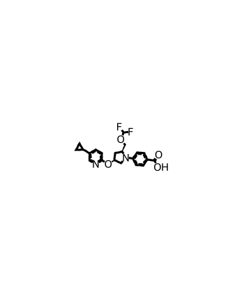 O=C(O)c1ccc(N2C[C@@H](Oc3ccc(C4CC4)cn3)C[C@H]2COC(F)F)cc1